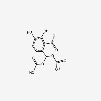 O=C(O)OC(OC(=O)O)c1ccc(O)c(O)c1[N+](=O)[O-]